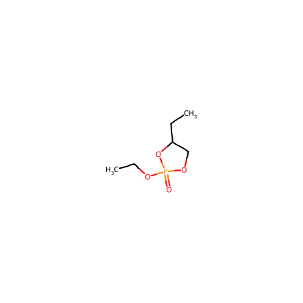 CCOP1(=O)OCC(CC)O1